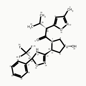 Cc1cc([C@H](C(=O)N2C[C@H](O)C[C@H]2C2=NO[C@](c3ccccc3)(C(F)(F)F)N2)C(C)C)on1